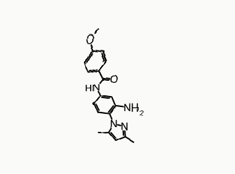 COc1ccc(C(=O)Nc2ccc(-n3nc(C)cc3C)c(N)c2)cc1